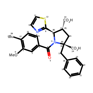 COc1cc(C(=O)N2[C@@H](c3nccs3)[C@H](C(=O)O)C[C@@]2(Cc2ccccc2)C(=O)O)ccc1C(C)(C)C